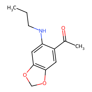 CCCNc1cc2c(cc1C(C)=O)OCO2